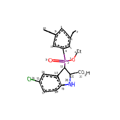 CCOP(=O)(c1cc(C)cc(C)c1)C1c2cc(Cl)ccc2NC1C(=O)O